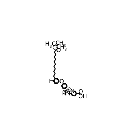 CC(C)(C)OC(=O)CCCCCCCCCCCc1cc(Oc2ccc(S(=O)(=O)Nc3ccc(C(=O)O)cn3)cc2)ccc1F